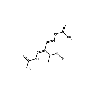 C=C(N)N/N=C/C(=N/NC(N)=S)C(C)OCC